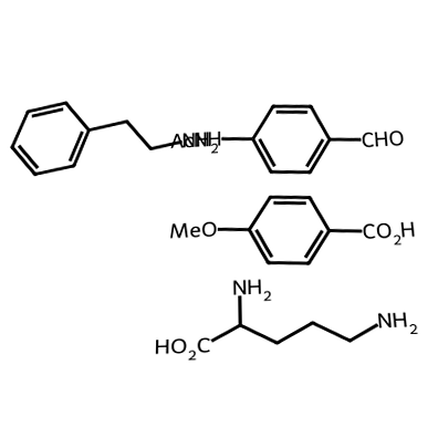 CC(=O)Nc1ccc(C=O)cc1.COc1ccc(C(=O)O)cc1.NCCCC(N)C(=O)O.NCCc1ccccc1